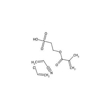 C=C(C)C(=O)OCCS(=O)(=O)O.C=CC#N.C=CCl